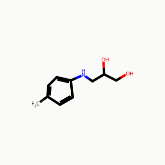 OCC(O)CNc1ccc(C(F)(F)F)cc1